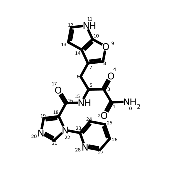 NC(=O)C(=O)C(Cc1coc2[nH]ccc12)NC(=O)c1cncn1-c1ccccn1